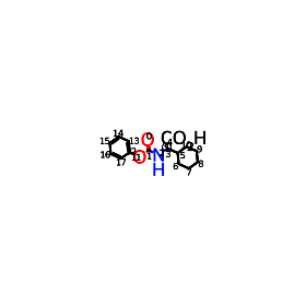 O=C(N[C@H](C(=O)O)C1CCCCC1)Oc1ccccc1